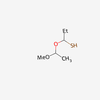 CCC(S)OC(C)OC